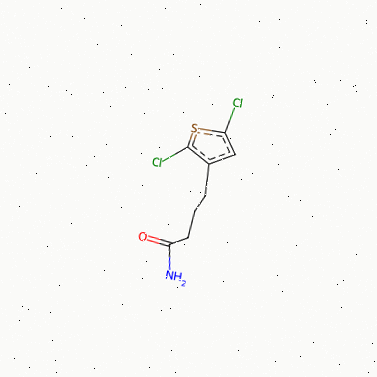 NC(=O)CCCc1cc(Cl)sc1Cl